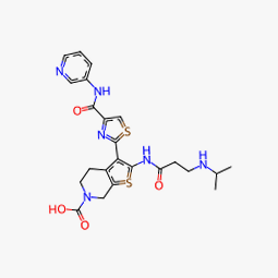 CC(C)NCCC(=O)Nc1sc2c(c1-c1nc(C(=O)Nc3cccnc3)cs1)CCN(C(=O)O)C2